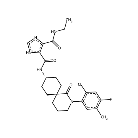 CCNC(=O)c1nc[nH]c1C(=O)N[C@H]1CC[C@@]2(CCCN(c3cc(C)c(F)cc3Cl)C2=O)CC1